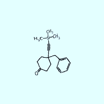 C[Si](C)(C)C#CC1(Cc2ccccc2)CCC(=O)CC1